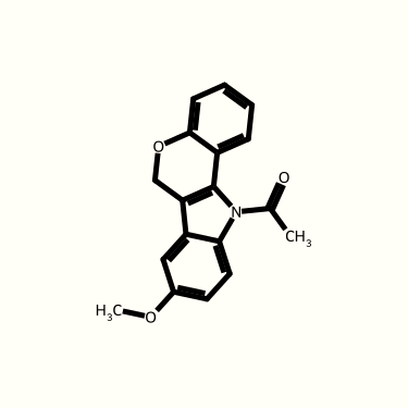 COc1ccc2c(c1)c1c(n2C(C)=O)-c2ccccc2OC1